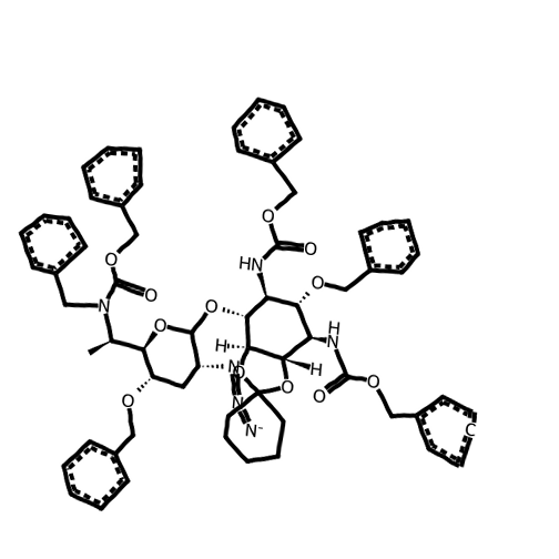 C[C@H]([C@H]1OC(O[C@@H]2[C@@H](NC(=O)OCc3ccccc3)[C@H](OCc3ccccc3)[C@@H](NC(=O)OCc3ccccc3)[C@@H]3OC4(CCCCC4)O[C@@H]23)[C@H](N=[N+]=[N-])C[C@@H]1OCc1ccccc1)N(Cc1ccccc1)C(=O)OCc1ccccc1